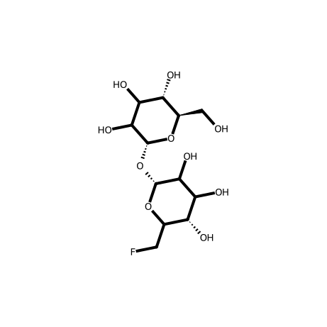 OC[C@H]1O[C@H](O[C@H]2OC(CF)[C@@H](O)C(O)C2O)C(O)C(O)[C@@H]1O